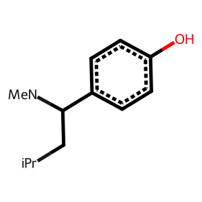 CNC(CC(C)C)c1ccc(O)cc1